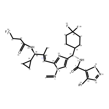 C=Nn1cc([C@@H](NC(=O)c2snnc2C(C)C)C2CCC(F)(F)CC2)nc1/C=C(\C)[C@H](NC(=O)CCC(F)(F)F)C1CC1